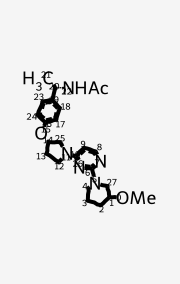 COC1CCCN(c2nccc(N3CC[C@@H](Oc4ccc([C@H](C)NC(C)=O)cc4)C3)n2)C1